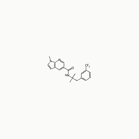 Cn1ccc2cc(C(=O)NC(C)(C)Cc3cccc(C(F)(F)F)c3)cnc21